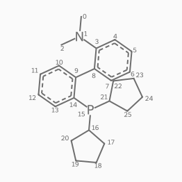 CN(C)c1ccccc1-c1ccccc1P(C1CCCC1)C1CCCC1